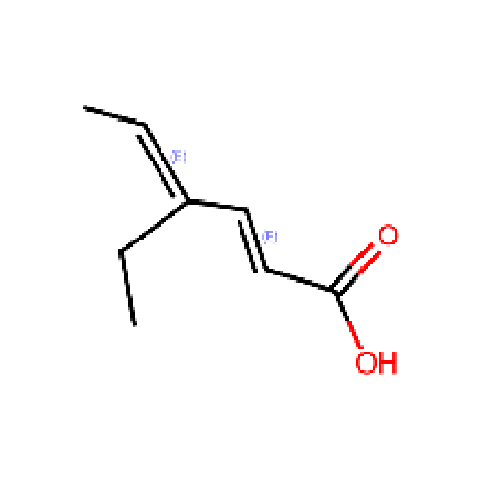 C/C=C(/C=C/C(=O)O)CC